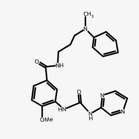 COc1ccc(C(=O)NCCCN(C)c2ccccc2)cc1NC(=O)Nc1cnccn1